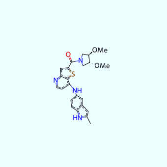 CO[C@@H]1CN(C(=O)c2cc3nccc(Nc4ccc5[nH]c(C)cc5c4)c3s2)C[C@H]1OC